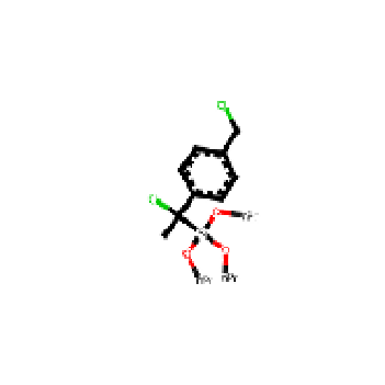 CCCO[Si](OCCC)(OCCC)C(C)(Cl)c1ccc(CCl)cc1